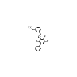 Fc1cc(-c2ccccc2)c(F)c(OCc2cccc(CBr)c2)c1F